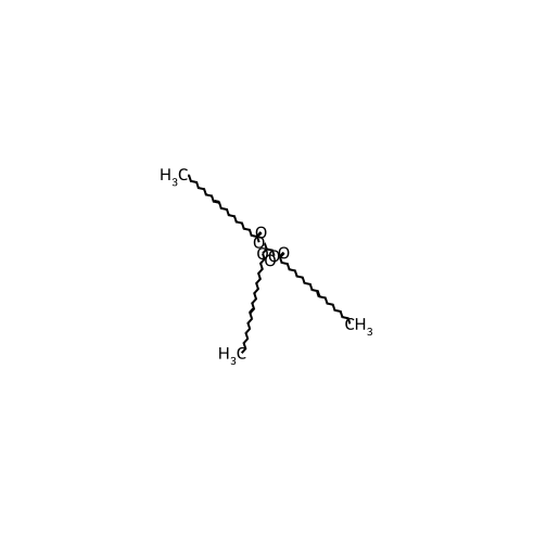 CCCCCCCCC=CCCCCCCCCCC(=O)OCC(COC(=O)CCCCCCCCCC=CCCCCCCCC)OC(=O)CCCCCCCCCC=CCCCCCCCC